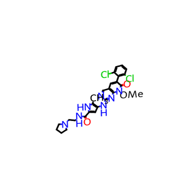 COn1c(=O)c(-c2c(Cl)cccc2Cl)cc2cnc(Nc3cc(C(=O)NCCN4CCCC4)[nH]c3C)nc21